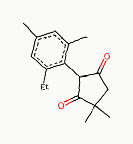 CCc1cc(C)cc(C)c1C1C(=O)CC(C)(C)C1=O